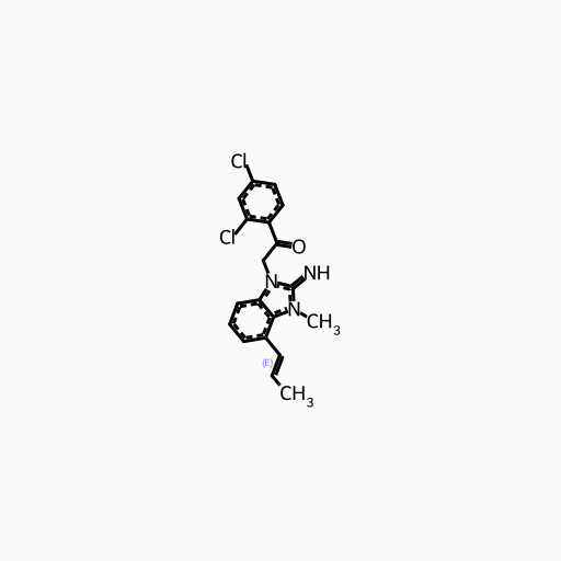 C/C=C/c1cccc2c1n(C)c(=N)n2CC(=O)c1ccc(Cl)cc1Cl